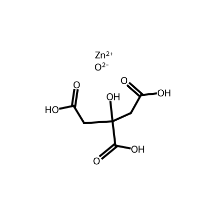 O=C(O)CC(O)(CC(=O)O)C(=O)O.[O-2].[Zn+2]